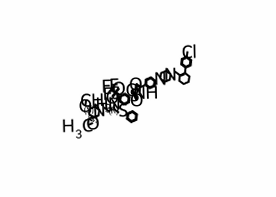 CO[C@@H]1C[C@H](OC)CN(CC[C@H](CSc2ccccc2)Nc2ccc(S(=O)(=O)NC(=O)c3ccc(N4CCN(CC5=C(c6ccc(Cl)cc6)CCCC5)CC4)cc3)cc2S(=O)(=O)C(F)(F)F)C1